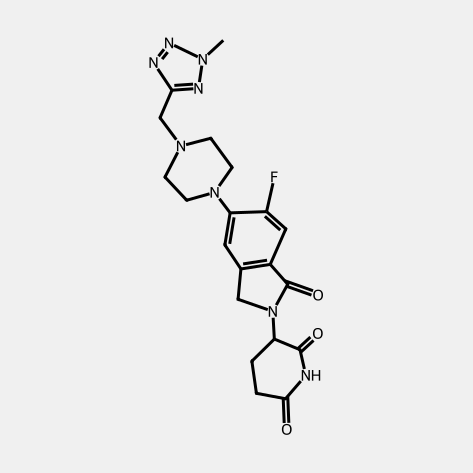 Cn1nnc(CN2CCN(c3cc4c(cc3F)C(=O)N(C3CCC(=O)NC3=O)C4)CC2)n1